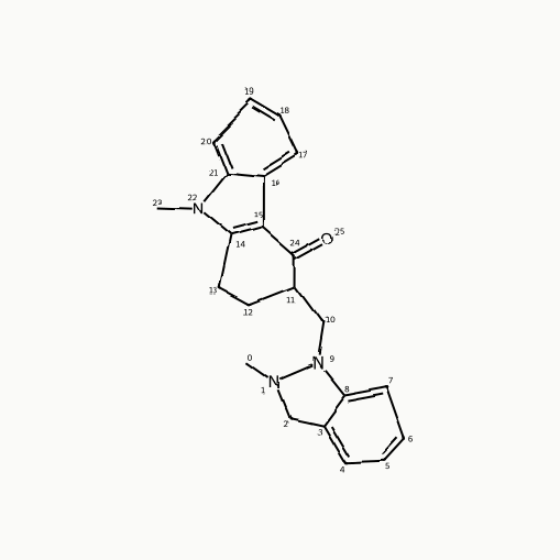 CN1Cc2ccccc2N1CC1CCc2c(c3ccccc3n2C)C1=O